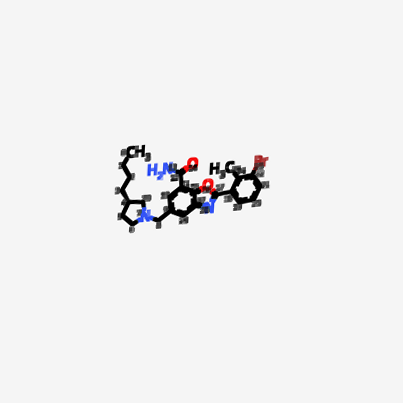 CCCC[C@@H]1CCN(Cc2cc(C(N)=O)c3oc(-c4cccc(Br)c4C)nc3c2)C1